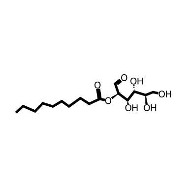 CCCCCCCCCC(=O)O[C@@H](C=O)[C@@H](O)[C@H](O)[C@H](O)CO